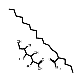 CCCCCCCCCCCCCCC(CCCC)C(N)=O.O=C(O)C(O)C(O)C(O)C(O)CO